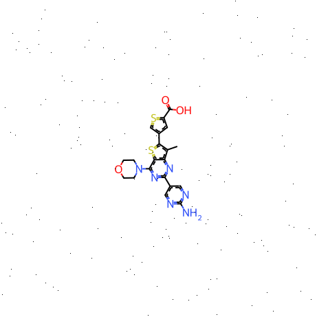 Cc1c(-c2csc(C(=O)O)c2)sc2c(N3CCOCC3)nc(-c3cnc(N)nc3)nc12